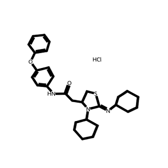 Cl.O=C(CC1CSC(=NC2CCCCC2)N1C1CCCCC1)Nc1ccc(Oc2ccccc2)cc1